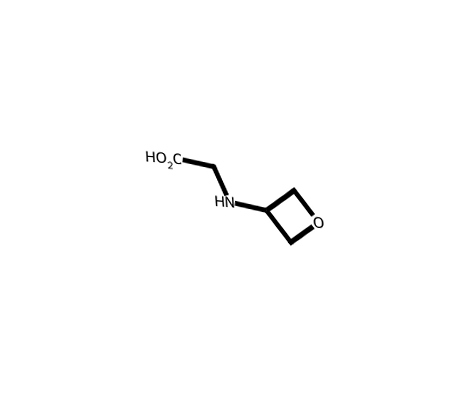 O=C(O)CNC1COC1